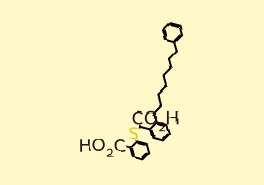 O=C(O)c1ccccc1SC(C(=O)O)c1ccccc1CCCCCCCCc1ccccc1